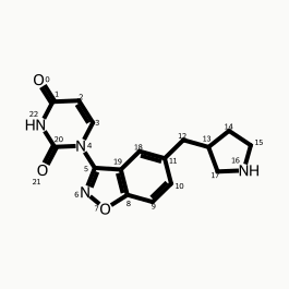 O=c1ccn(-c2noc3ccc(CC4CCNC4)cc23)c(=O)[nH]1